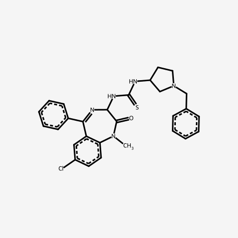 CN1C(=O)C(NC(=S)NC2CCN(Cc3ccccc3)C2)N=C(c2ccccc2)c2cc(Cl)ccc21